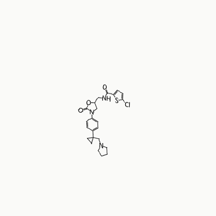 O=C(NCC1CN(c2ccc(C3(CN4CCCC4)CC3)cc2)C(=O)O1)c1ccc(Cl)s1